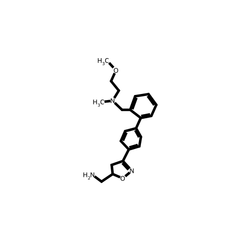 COCCN(C)Cc1ccccc1-c1ccc(C2=NOC(CN)C2)cc1